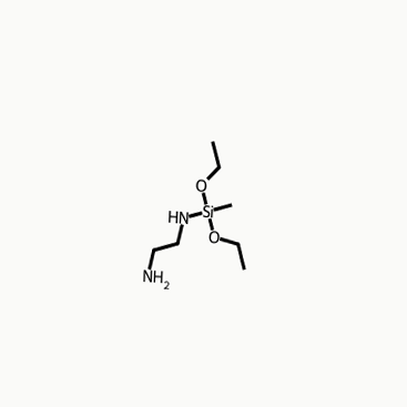 CCO[Si](C)(NCCN)OCC